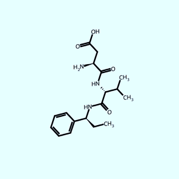 CC[C@H](NC(=O)[C@H](NC(=O)[C@@H](N)CC(=O)O)C(C)C)c1ccccc1